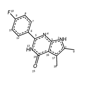 Cc1[nH]c2nc(-c3ccc(F)cc3)[nH]c(=O)c2c1C